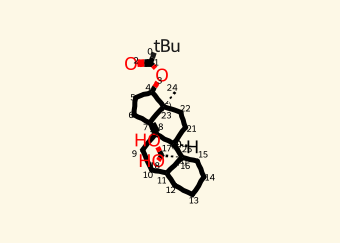 CC(C)(C)C(=O)OC1CCC2=C3CCC4CCCC[C@]4(C(O)O)[C@@H]3CC[C@@]21C